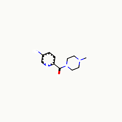 CN1CCN(C(=O)c2ccc(N)cn2)CC1